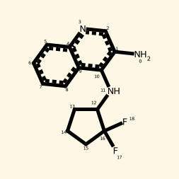 Nc1cnc2ccccc2c1NC1CCCC1(F)F